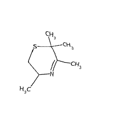 CC1=NC(C)CSC1(C)C